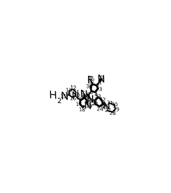 N#Cc1ccc(-c2nc3c(N4CCCC(N)C4)ccnc3n2-c2ccc(N3CCCCC3)cc2)cc1F